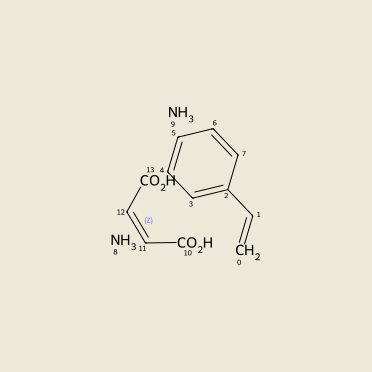 C=Cc1ccccc1.N.N.O=C(O)/C=C\C(=O)O